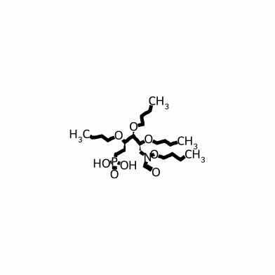 CCCCO[C@@H]([C@@H](CCP(=O)(O)O)OCCCC)[C@@H](CN(C=O)OCCCC)OCCCC